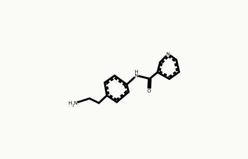 NCCc1ccc(NC(=O)c2cccnc2)cc1